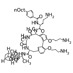 CCCCCCCCc1ccc(C(=O)N[C@@H](CCCN)C(=O)N(C)[C@@H]2C(=O)N[C@@H](C)C(=O)N[C@H](C(=O)N[C@@H](C)B3O[C@@H]4C[C@@H]5C[C@@H](C5(C)C)[C@]4(C)O3)Cc3ccc(OCCCN)c(c3)-c3cc2ccc3OCCCN)cc1